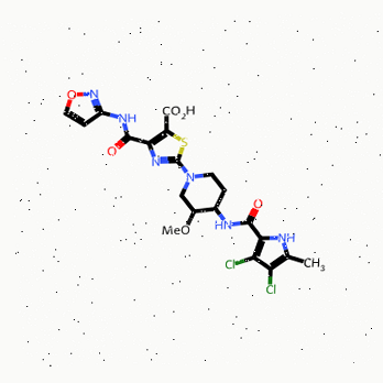 COC1CN(c2nc(C(=O)Nc3ccon3)c(C(=O)O)s2)CCC1NC(=O)c1[nH]c(C)c(Cl)c1Cl